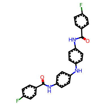 O=C(Nc1ccc(Nc2ccc(NC(=O)c3ccc(F)cc3)cc2)cc1)c1ccc(F)cc1